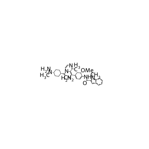 C=C([C@H]1CC[C@H](N(C)N)CC1)N1C=CN=C(C)/C1=C(/N)C1=CC=C(NC(=O)c2cc3ccccc3n2C)C(OC)C1